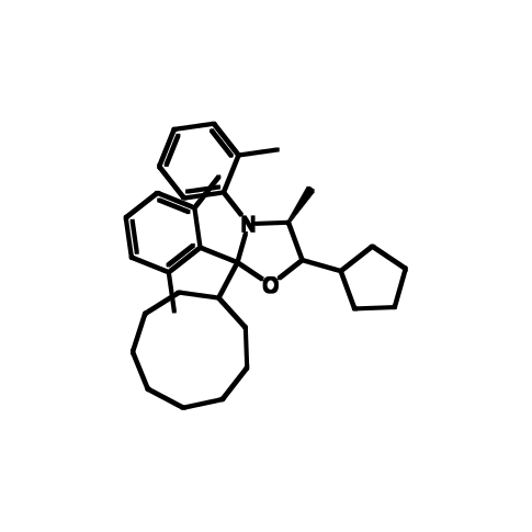 Cc1ccccc1N1[C@@H](C)C(C2CCCC2)OC1(c1c(C)cccc1C)C1CCCCCCCC1